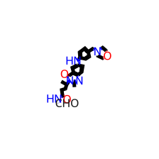 Cc1nc2ccc(Nc3ccc(CN4CCOCC4)cc3)cc2c(=O)n1C(C)CCC(=O)NC=O